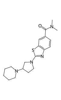 CN(C)C(=O)c1ccc2nc(N3CCC(N4CCCCC4)C3)sc2c1